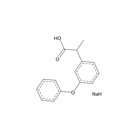 CC(C(=O)O)c1cccc(Oc2ccccc2)c1.[NaH]